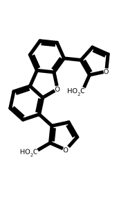 O=C(O)c1occc1-c1cccc2c1oc1c(-c3ccoc3C(=O)O)cccc12